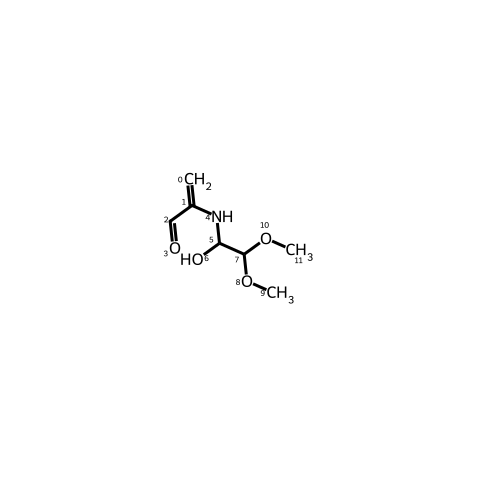 C=C(C=O)NC(O)C(OC)OC